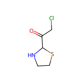 O=C(CCl)C1NCCS1